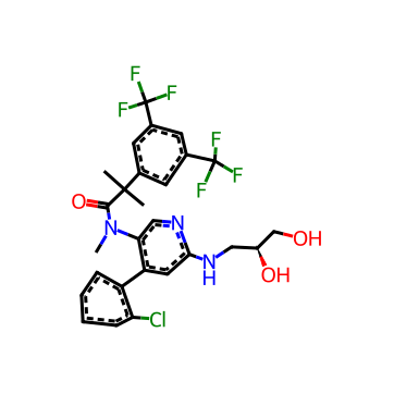 CN(C(=O)C(C)(C)c1cc(C(F)(F)F)cc(C(F)(F)F)c1)c1cnc(NC[C@H](O)CO)cc1-c1ccccc1Cl